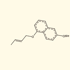 C/C=C/COc1cccc2cc(OC)ccc12